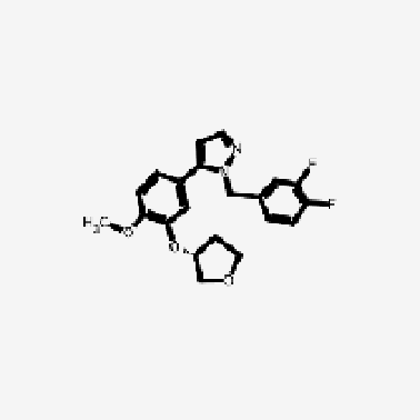 COc1ccc(-c2ccnn2Cc2ccc(F)c(F)c2)cc1O[C@@H]1CCOC1